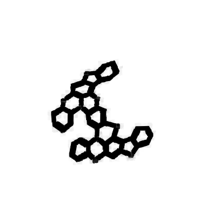 c1ccc2c(c1)Oc1cc3oc4ccccc4c3c3c1B2c1cc2c(cc1O3)Oc1c3c(cc4oc5ccccc5c14)Oc1ccccc1B23